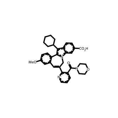 COc1ccc2c(c1)C=C(c1ncccc1C(=O)N1CCOCC1)Cn1c-2c(C2CCCCC2)c2ccc(C(=O)O)cc21